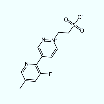 Cc1cnc(-c2cc[n+](CCS(=O)(=O)[O-])nc2)c(F)c1